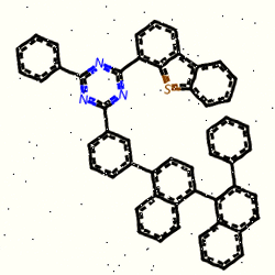 c1ccc(-c2nc(-c3cccc(-c4ccc(-c5c(-c6ccccc6)ccc6ccccc56)c5ccccc45)c3)nc(-c3cccc4c3sc3ccccc34)n2)cc1